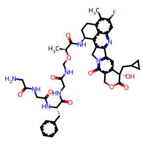 Cc1c(F)cc2nc3c(c4c2c1CC[C@@H]4NC(=O)[C@H](C)OCNC(=O)CNC(=O)[C@H](Cc1ccccc1)NC(=O)CNC(=O)CN)Cn1c-3cc2c(c1=O)COC(=O)[C@]2(O)CC1CC1